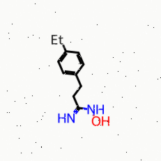 CCc1ccc(CCC(=N)NO)cc1